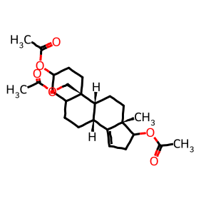 CC(=O)OC[C@]12CCC(OC(C)=O)CC1CC[C@H]1C3=CCC(OC(C)=O)[C@@]3(C)CC[C@H]12